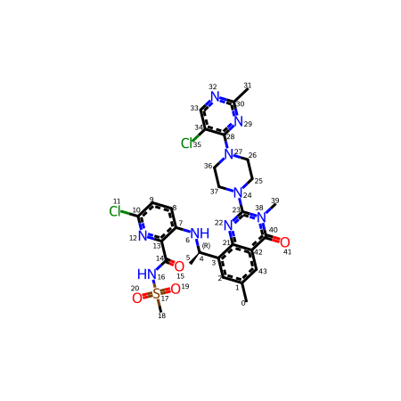 Cc1cc([C@@H](C)Nc2ccc(Cl)nc2C(=O)NS(C)(=O)=O)c2nc(N3CCN(c4nc(C)ncc4Cl)CC3)n(C)c(=O)c2c1